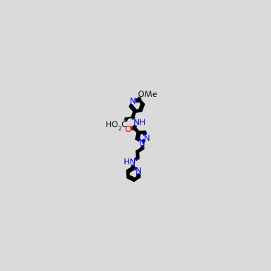 COc1ccc([C@H](CC(=O)O)NC(=O)c2cnn(CCCNc3ccccn3)c2)cn1